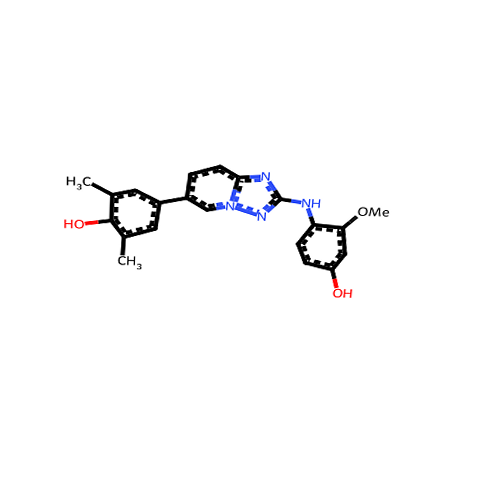 COc1cc(O)ccc1Nc1nc2ccc(-c3cc(C)c(O)c(C)c3)cn2n1